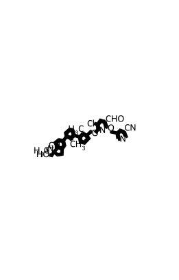 Cc1c(COc2nc(OCc3cncc(C#N)c3)c(C=O)cc2Cl)cccc1-c1cccc(-c2ccc3c(c2)CCC3(CO)N(C)C)c1C